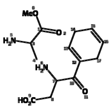 COC(=O)C(C)N.NC(CC(=O)O)C(=O)C1=CCC=CC1